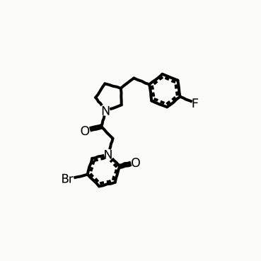 O=C(Cn1cc(Br)ccc1=O)N1CCC(Cc2ccc(F)cc2)C1